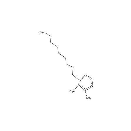 CCCCCCCCCCCCCCCCCCc1cccc(C)c1C